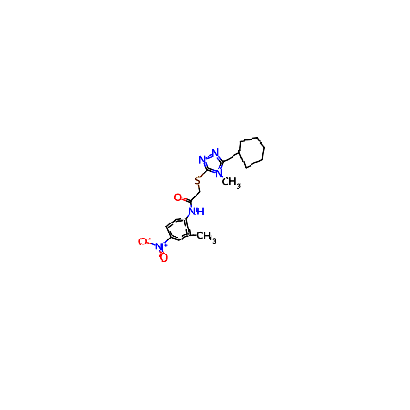 Cc1cc([N+](=O)[O-])ccc1NC(=O)CSc1nnc(C2CCCCC2)n1C